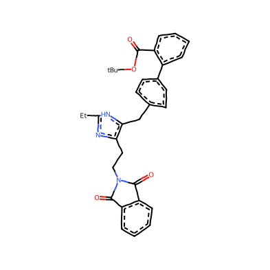 CCc1nc(CCN2C(=O)c3ccccc3C2=O)c(Cc2ccc(-c3ccccc3C(=O)OC(C)(C)C)cc2)[nH]1